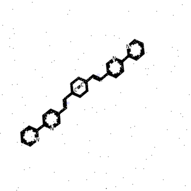 C(=C\C12CCC(/C=C/c3ccc(-c4ccccn4)nc3)(CC1)CC2)/c1ccc(-c2ccccn2)nc1